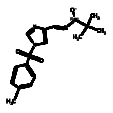 Cc1ccc(S(=O)(=O)n2cnc(C=N[S@+]([O-])C(C)(C)C)c2)cc1